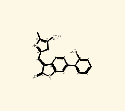 COc1ccccc1-c1ccc2c(c1)NC(=O)C2=CC1=NC(C)=C(C(=O)O)C1